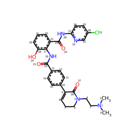 CN(C)CCN1CCC=C(c2ccc(C(=O)Nc3c(O)cccc3C(=O)Nc3ccc(Cl)cn3)cc2)C1=O